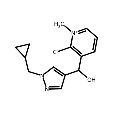 C[n+]1cccc(C(O)c2cnn(CC3CC3)c2)c1Cl